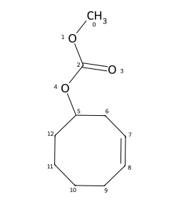 COC(=O)OC1CC=CCCCC1